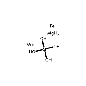 O[Si](O)(O)O.[Fe].[MgH2].[Mn]